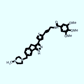 COc1cc(C(=O)NCC#Cc2cc(-c3n[nH]c4c3Cc3ccc(CN5CCN(C)CC5)cc3-4)cs2)cc(OC)c1OC